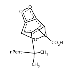 CCCCCC(C)(C)c1c(C(=O)O)c2c3ooc3c1OO2